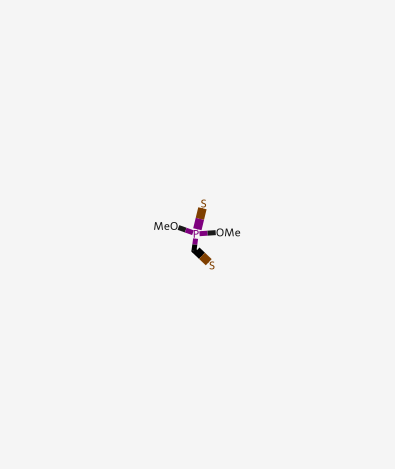 COP(=S)(C=S)OC